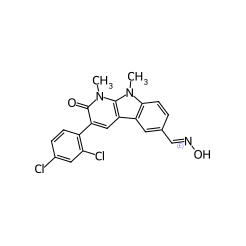 Cn1c(=O)c(-c2ccc(Cl)cc2Cl)cc2c3cc(/C=N/O)ccc3n(C)c21